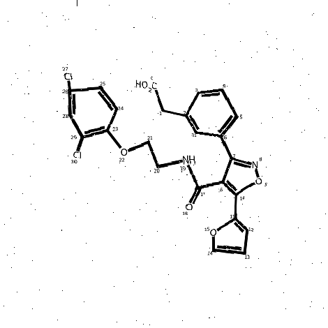 O=C(O)Cc1cccc(-c2noc(-c3ccco3)c2C(=O)NCCOc2ccc(Cl)cc2Cl)c1